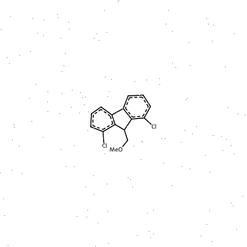 COCC1c2c(Cl)cccc2-c2cccc(Cl)c21